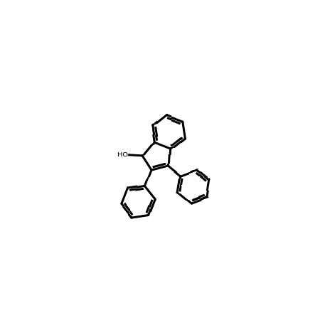 OC1C(c2ccccc2)=C(c2ccccc2)c2ccccc21